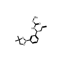 C=CC[C@H](NC(=O)OC(C)(C)C)c1cccc(B2OCC(C)(C)O2)c1